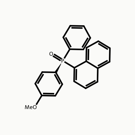 COc1ccc([P@@](=O)(c2ccccc2)c2cccc3ccccc23)cc1